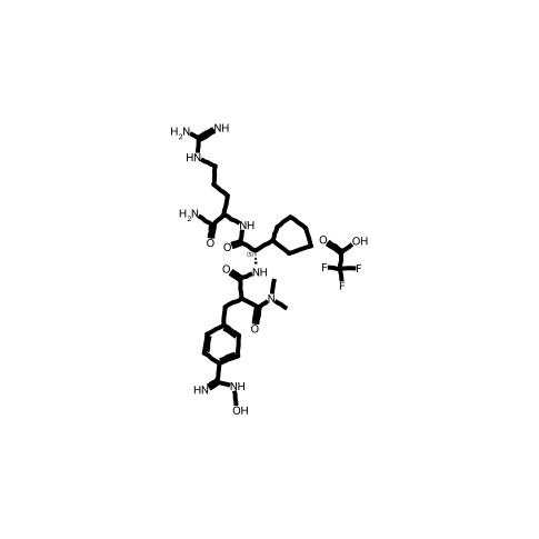 CN(C)C(=O)C(Cc1ccc(C(=N)NO)cc1)C(=O)N[C@H](C(=O)NC(CCCNC(=N)N)C(N)=O)C1CCCCC1.O=C(O)C(F)(F)F